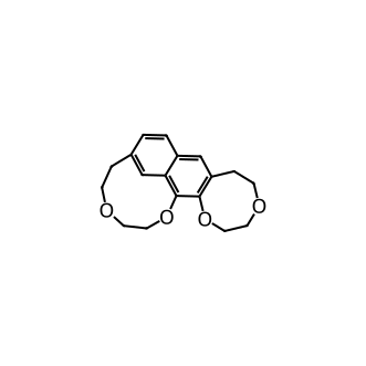 c1cc2cc3c(c4c2cc1CCOCCO4)OCCOCC3